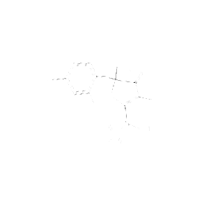 CCS(=O)(=O)N(C)C1=C(O)C(=O)C(C)(c2ccc(Cl)cc2F)O1